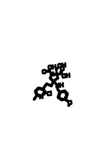 COc1ccc(CNC2(CCc3ccc(C)nc3Cl)CN(C(=O)O)[C@](CO)(C(=O)O)C2)cc1